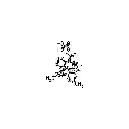 CCC(COP(=O)(O)O)N1c2ccccc2C2(c3ccc(C)cc3-c3cc(C)ccc32)c2ccccc21